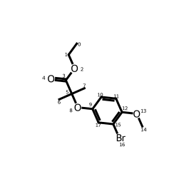 CCOC(=O)C(C)(C)Oc1ccc(OC)c(Br)c1